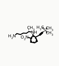 C[C@@H](CCCCN)Nc1c(C#C[Si](C)(C)C)cccc1[N+](=O)[O-]